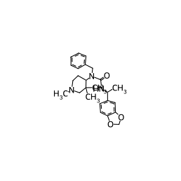 CC(NC(=O)N(Cc1ccccc1)C1CCN(C)CC1(C)C)c1ccc2c(c1)OCO2